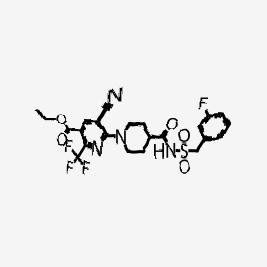 CCOC(=O)c1cc(C#N)c(N2CCC(C(=O)NS(=O)(=O)Cc3cccc(F)c3)CC2)nc1C(F)(F)F